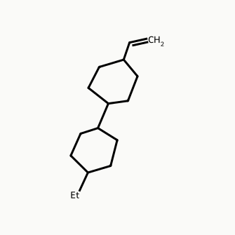 C=CC1CCC(C2CCC(CC)CC2)CC1